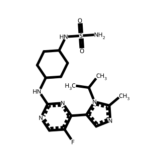 Cc1ncc(-c2nc(NC3CCC(NS(N)(=O)=O)CC3)ncc2F)n1C(C)C